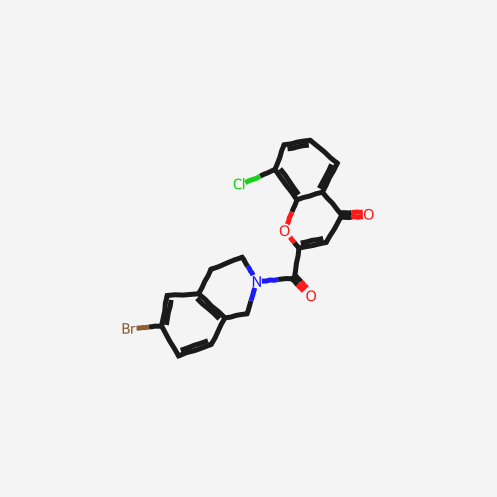 O=C(c1cc(=O)c2cccc(Cl)c2o1)N1CCc2cc(Br)ccc2C1